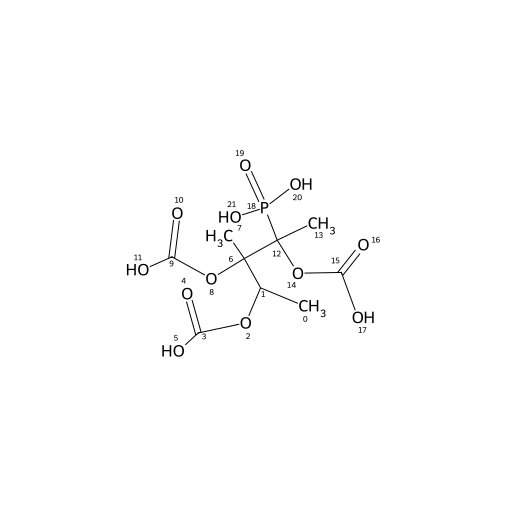 CC(OC(=O)O)C(C)(OC(=O)O)C(C)(OC(=O)O)P(=O)(O)O